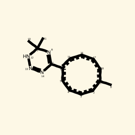 Cc1ccccc(C2=NC(C)(C)NN=N2)cccc1